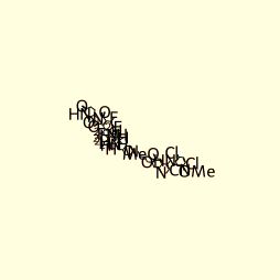 [2H]C1([2H])N(CC2CCN(CCCOc3cc4ncc(C#N)c(Nc5cc(OC)c(Cl)cc5Cl)c4cc3OC)CC2)C([2H])([2H])C([2H])([2H])N(c2c(F)c(F)c3c(c2F)C(=O)N(C2CCC(=O)NC2=O)C3=O)C1([2H])[2H]